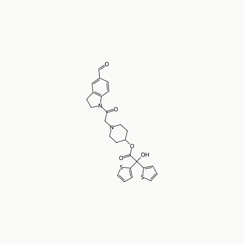 O=Cc1ccc2c(c1)CCN2C(=O)CN1CCC(OC(=O)C(O)(c2cccs2)c2cccs2)CC1